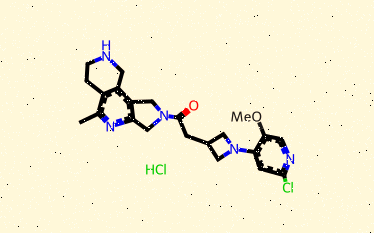 COc1cnc(Cl)cc1N1CC(CC(=O)N2Cc3nc(C)c4c(c3C2)CNCC4)C1.Cl